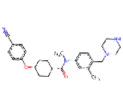 Cc1cc(N(C)C(=O)[C@H]2CC[C@H](Oc3ccc(C#N)cc3)CC2)ccc1CN1CCNCC1